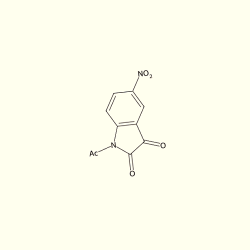 CC(=O)N1C(=O)C(=O)c2cc([N+](=O)[O-])ccc21